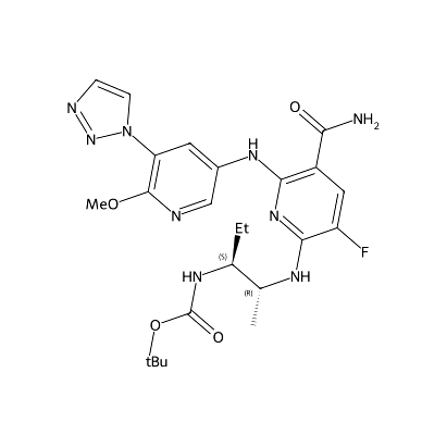 CC[C@H](NC(=O)OC(C)(C)C)[C@@H](C)Nc1nc(Nc2cnc(OC)c(-n3ccnn3)c2)c(C(N)=O)cc1F